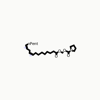 CCCCC/C=C\C/C=C\CCCCCCCC(=O)OCOC(=O)N1CCCC1